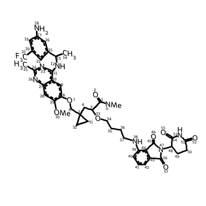 CNC(=O)C(CC1(COc2cc3c(NC(C)c4cc(N)cc(C(F)(F)F)c4)nc(C)nc3cc2OC)CC1)OCCCCNc1cccc2c1C(=O)N(C1CCC(=O)NC1=O)C2=O